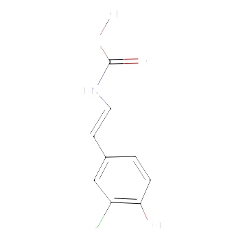 COC(=O)NC=Cc1ccc(O)c(Cl)c1